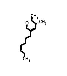 CC/C=C\CCC/C(=C/[C@@H](C)CC)CO